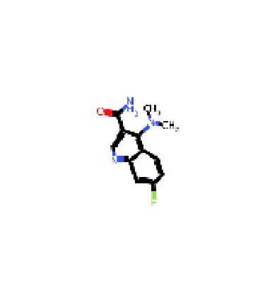 CN(C)c1c(C(N)=O)cnc2cc(F)ccc12